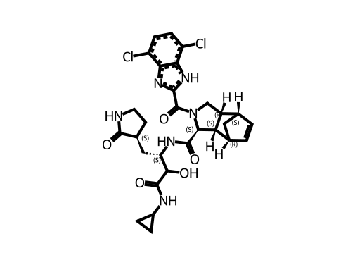 O=C(NC1CC1)C(O)[C@H](C[C@@H]1CCNC1=O)NC(=O)[C@@H]1[C@@H]2[C@H](CN1C(=O)c1nc3c(Cl)ccc(Cl)c3[nH]1)[C@@H]1C=C[C@H]2C1